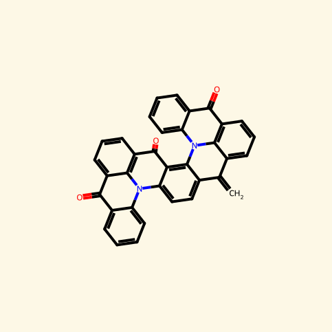 C=c1c2cccc3c(=O)c4ccccc4n(c32)c2c1ccc1c2c(=O)c2cccc3c(=O)c4ccccc4n1c32